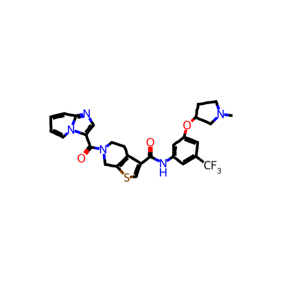 CN1CCC(Oc2cc(NC(=O)c3csc4c3CCN(C(=O)c3cnc5ccccn35)C4)cc(C(F)(F)F)c2)C1